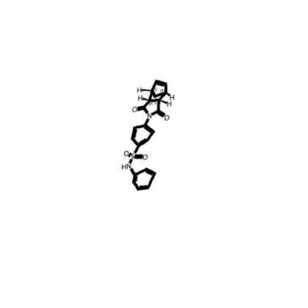 O=C1[C@@H]2[C@H](C(=O)N1c1ccc(S(=O)(=O)Nc3ccccc3)cc1)[C@@H]1C=C[C@H]2C1